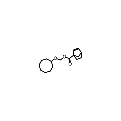 O=C(OCOC1CCCCCCC1)C12C=CC(CC1)C2